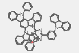 c1ccc(-c2nc(-c3cccc(-n4c5ccccc5c5ccccc54)c3)nc(-n3c4ccccc4c4c3c(-n3c5ccccc5c5ccccc53)cc3c5ccccc5n(-c5ccccc5)c34)n2)cc1